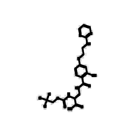 O=C(N[C@@H](CNC(=O)c1ccc(OCCNc2ncccn2)cc1O)C(=O)O)OCC(Cl)(Cl)Cl